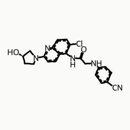 N#Cc1ccc(NCC(=O)Nc2c(Cl)ccc3nc(N4CC[C@@H](O)C4)ccc23)cc1